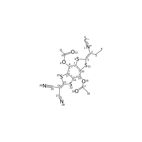 [C-]#[N+]C(CC)=C1Sc2c(OC(C)=O)c3c(c(OC(C)=O)c2S1)SC(=C(C#N)C#N)S3